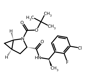 C[C@@H](NC(=O)[C@@H]1C[C@H]2C[C@H]2N1C(=O)OC(C)(C)C)c1cccc(Cl)c1F